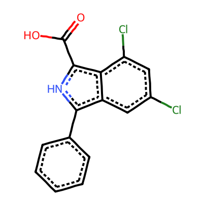 O=C(O)c1[nH]c(-c2ccccc2)c2cc(Cl)cc(Cl)c12